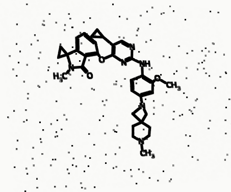 COc1cc(N2CC3(CCN(C)CC3)C2)ccc1Nc1ncc(C2CC2)c(Oc2cccc3c2C(=O)N(C)C32CC2)n1